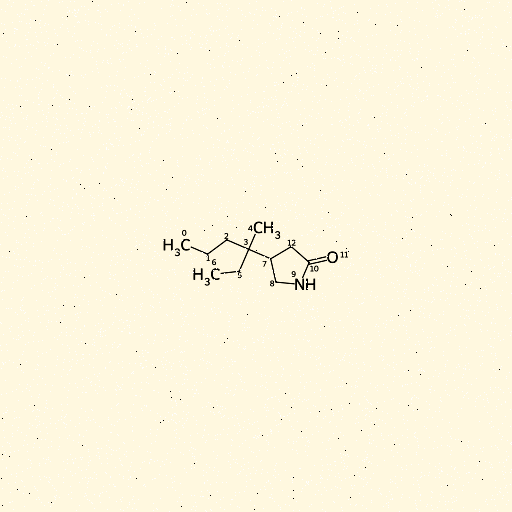 CCCC(C)(CC)C1CNC(=O)C1